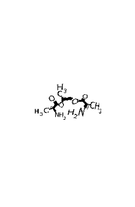 C[C@H](N)C(=O)OC[C@H](C)OC(=O)[C@H](C)N